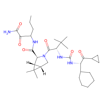 CCCC(NC(=O)[C@@H]1[C@@H]2[C@H](CN1C(=O)[C@@H](NC(=O)N[C@H](C(=O)C1CC1)C1CCCCC1)C(C)(C)C)C2(C)C)C(=O)C(N)=O